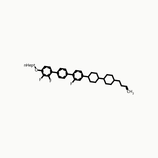 C=CCCC1CCC(C2CCC(c3ccc(-c4ccc(-c5ccc(OCCCCCCC)c(F)c5F)cc4)c(F)c3)CC2)CC1